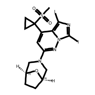 CS(=O)(=O)C1(c2cc(N3C[C@H]4CC[C@@H](C3)O4)nn3c(I)nc(I)c23)CC1